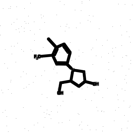 Cc1ccc(N2CC(O)CC2CO)cc1C(F)(F)F